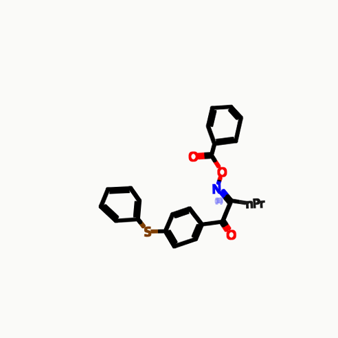 CCC/C(=N\OC(=O)c1ccccc1)C(=O)c1ccc(Sc2ccccc2)cc1